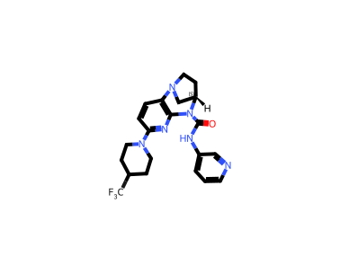 O=C(Nc1cccnc1)N1c2nc(N3CCC(C(F)(F)F)CC3)ccc2N2CC[C@H]1C2